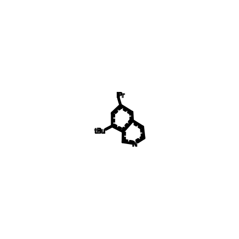 CC(C)c1cc(C(C)(C)C)c2cnccc2c1